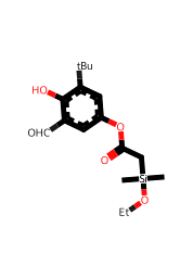 CCO[Si](C)(C)CC(=O)Oc1cc(C=O)c(O)c(C(C)(C)C)c1